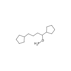 POC(CCCC1CCCC1)C1CCCC1